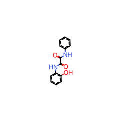 O=C(Nc1ccccc1)C(=O)Nc1ccccc1O